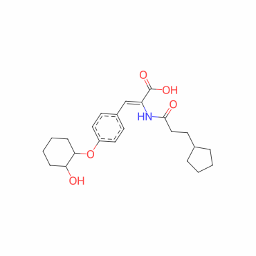 O=C(CCC1CCCC1)NC(=Cc1ccc(OC2CCCCC2O)cc1)C(=O)O